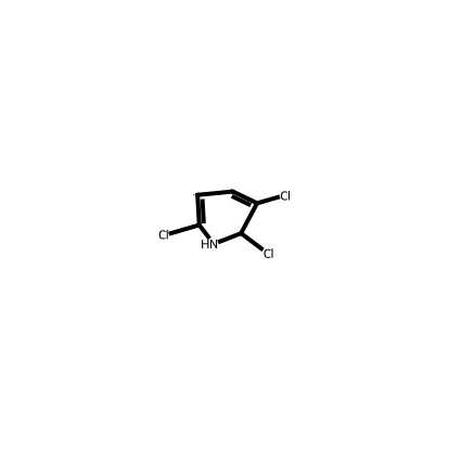 ClC1=[C]C=C(Cl)C(Cl)N1